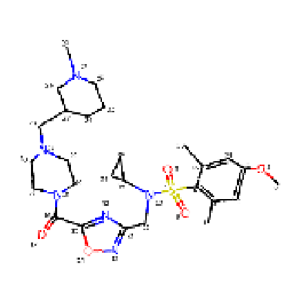 COc1cc(C)c(S(=O)(=O)N(Cc2noc(C(=O)N3CCN(CC4CCCN(C)C4)CC3)n2)C2CC2)c(C)c1